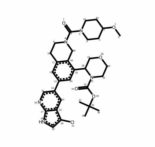 COC1CCN(C(=O)N2CCc3cc(-c4cnc5[nH]cc(Cl)c5c4)cc(C4COCCN4C(=O)OC(C)(C)C)c3C2)CC1